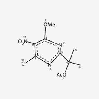 COc1nc(C(C)(C)OC(C)=O)nc(Cl)c1[N+](=O)[O-]